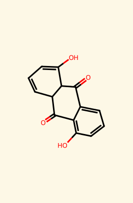 O=C1c2c(O)cccc2C(=O)C2C(O)=CC=CC12